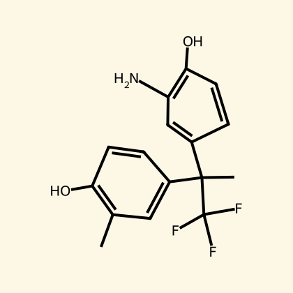 Cc1cc(C(C)(c2ccc(O)c(N)c2)C(F)(F)F)ccc1O